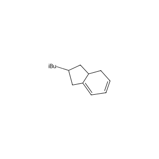 CCC(C)C1CC2=CC=CCC2C1